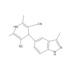 [C-]#[N+]C1=C(C)NC(C)=C(C#N)C1c1ccc2[nH]nc(C)c2c1